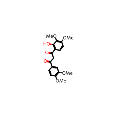 COc1ccc(C(=O)CC(=O)c2ccc(OC)c(OC)c2O)cc1OC